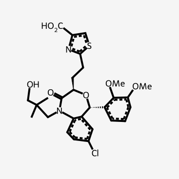 COc1cccc([C@H]2O[C@H](CCc3nc(C(=O)O)cs3)C(=O)N(CC(C)(C)CO)c3ccc(Cl)cc32)c1OC